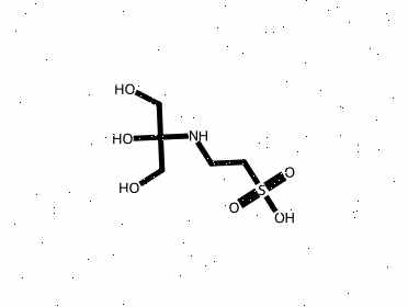 O=S(=O)(O)CCNC(O)(CO)CO